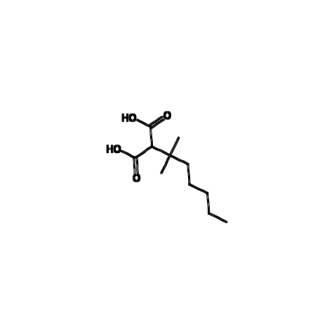 CCCCCC(C)(C)C(C(=O)O)C(=O)O